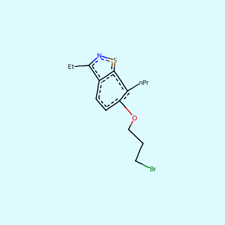 CCCc1c(OCCCBr)ccc2c(CC)nsc12